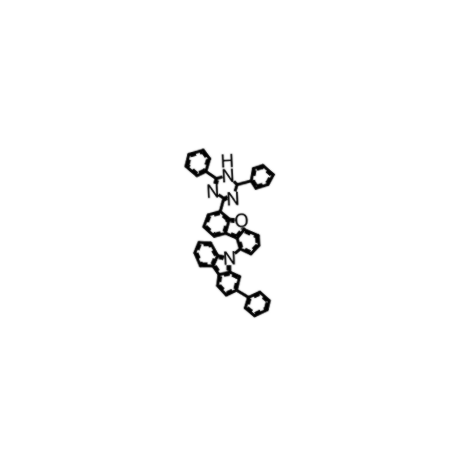 c1ccc(C2=NC(c3cccc4c3oc3cccc(-n5c6ccccc6c6ccc(-c7ccccc7)cc65)c34)=NC(c3ccccc3)N2)cc1